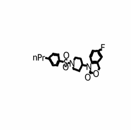 CCCc1ccc(S(=O)(=O)N2CCC(N3C(=O)OCc4cc(F)ccc43)CC2)cc1